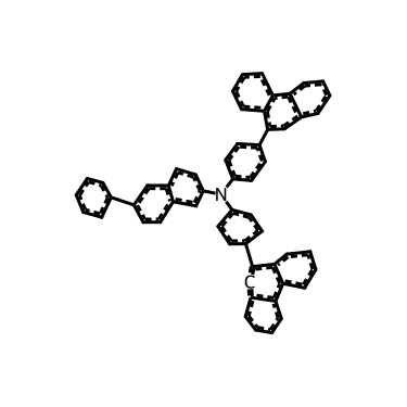 c1ccc(-c2ccc3cc(N(c4ccc(-c5cc6ccccc6c6ccccc56)cc4)c4ccc(-c5cc6ccccc6c6ccccc56)cc4)ccc3c2)cc1